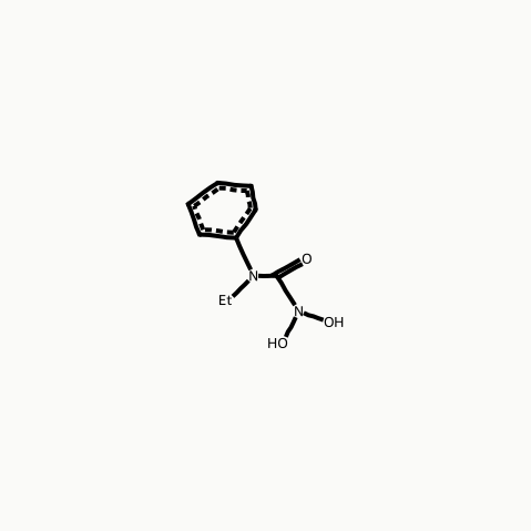 CCN(C(=O)N(O)O)c1ccccc1